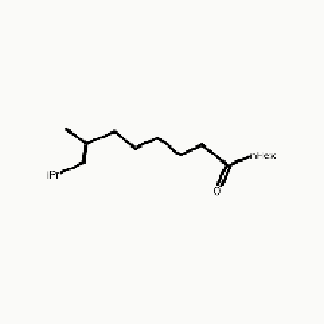 CCCCCCC(=O)CCCCCC(C)CC(C)C